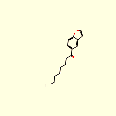 CCCCCCCC(=O)c1ccc2occc2c1